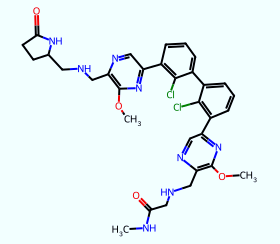 CNC(=O)CNCc1ncc(-c2cccc(-c3cccc(-c4cnc(CNCC5CCC(=O)N5)c(OC)n4)c3Cl)c2Cl)nc1OC